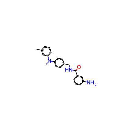 Cc1cccc(N(C)c2ccc(CNC(=O)c3cccc(N)c3)cc2)c1